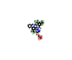 CCN(CC1CCCCC1)c1ccc(C(F)(F)F)cc1CN(C1=NCC(OCCS(C)(=O)=O)C=N1)[C@@H](C)c1cc(C(F)(F)F)cc(C(F)(F)F)c1